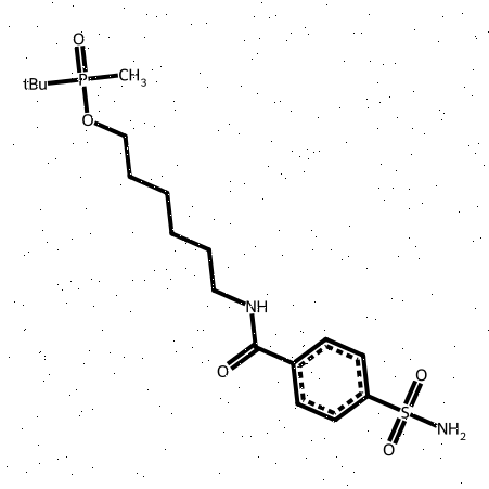 CC(C)(C)P(C)(=O)OCCCCCCNC(=O)c1ccc(S(N)(=O)=O)cc1